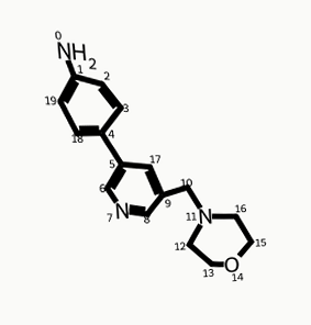 Nc1ccc(-c2cncc(CN3CCOCC3)c2)cc1